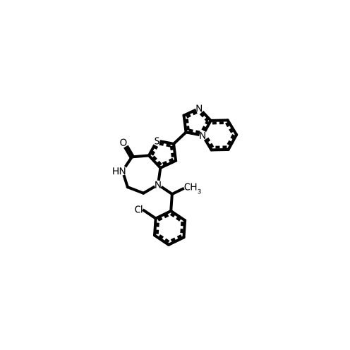 CC(c1ccccc1Cl)N1CCNC(=O)c2sc(-c3cnc4ccccn34)cc21